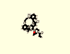 C=CC(=O)N1CCN(c2nc(=O)n3c4nc(c(Cl)cc24)-c2c(F)cccc2NCCOc2cccc(C(C)C)c2-3)C2C[C@H]21